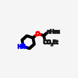 CCCCCCC(OC1CCNCC1)C(=O)OCC